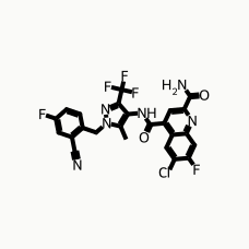 Cc1c(NC(=O)c2cc(C(N)=O)nc3cc(F)c(Cl)cc23)c(C(F)(F)F)nn1Cc1ccc(F)cc1C#N